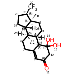 C[C@]12CC[C@H]3[C@@H](CCC4=CC(=O)CC(O)(O)[C@@]43C)[C@@H]1CC[C@H]2C(F)(F)F